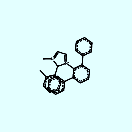 Cc1ccccc1C1[N+](C)=CC=[N+]1c1c(-c2ccccc2)cccc1-c1ccccc1